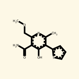 COCc1nc(C)c(-c2cccs2)c(O)c1C(N)=O